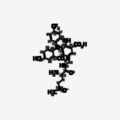 C[S+]([O-])CC[C@H](N)C(=O)NCc1ccc(Nc2cc(C(F)(F)F)ccc2Nc2ccccc2C(=O)O)c(C(=O)O)c1.Cl